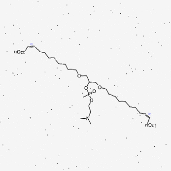 CCCCCCCC/C=C\CCCCCCCCOCC(COCCCCCCCC/C=C\CCCCCCCC)OP(C)(=O)OCCN(C)C